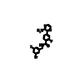 Nc1nccnc1-c1ccc(C(=O)NCc2cc(F)cc(Br)c2)c(F)c1